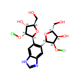 OC[C@H]1O[C@@H](c2cc3nc[nH]c3cc2[C@@H]2O[C@H](CO)[C@@H](O)[C@H]2OCl)[C@H](OCl)[C@@H]1O